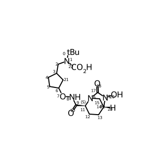 CC(C)(C)N(CC1CCC(ONC(=O)[C@@H]2CC[C@@H]3CN2C(=O)N3O)C1)C(=O)O